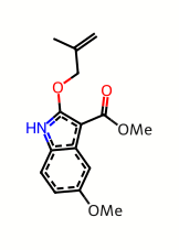 C=C(C)COc1[nH]c2ccc(OC)cc2c1C(=O)OC